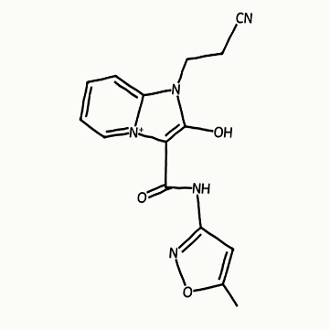 Cc1cc(NC(=O)c2c(O)n(CCC#N)c3cccc[n+]23)no1